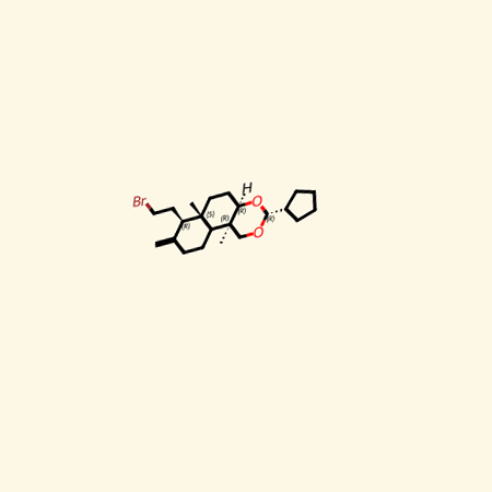 C=C1CCC2[C@]3(C)CO[C@@H](C4CCCC4)O[C@@H]3CC[C@@]2(C)[C@@H]1CCBr